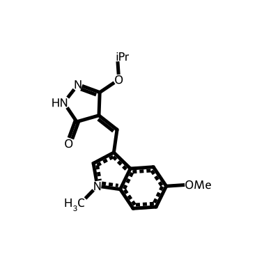 COc1ccc2c(c1)c(/C=C1\C(=O)NN=C1OC(C)C)cn2C